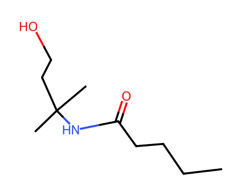 CCCCC(=O)NC(C)(C)CCO